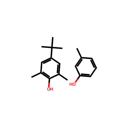 Cc1cc(C(C)(C)C)cc(C)c1O.Cc1cccc(O)c1